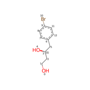 OCC[C@@H](O)Cc1ccc(Br)cc1